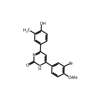 COc1ccc(-c2cc(-c3ccc(O)c(C)c3)nc(=O)[nH]2)cc1Br